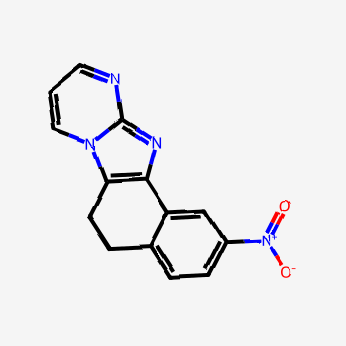 O=[N+]([O-])c1ccc2c(c1)-c1nc3ncccn3c1CC2